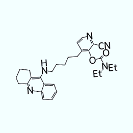 CCN(CC)C(=O)Oc1c(CCCCCNc2c3c(nc4ccccc24)CCCC3)ccnc1C#N